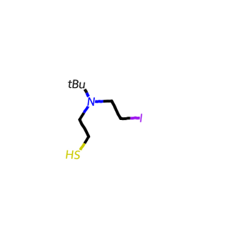 CC(C)(C)N(CCS)CCI